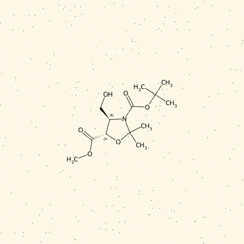 COC(=O)[C@H]1OC(C)(C)N(C(=O)OC(C)(C)C)[C@@H]1CO